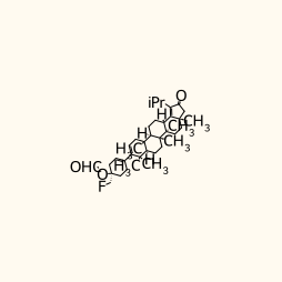 CC(C)C1=C2[C@H]3CC[C@@H]4[C@@]5(C)CC=C(C6=CC[C@](CF)(OC=O)CC6)C(C)(C)[C@@H]5CC[C@@]4(C)[C@]3(C)CC[C@@]2(C)CC1=O